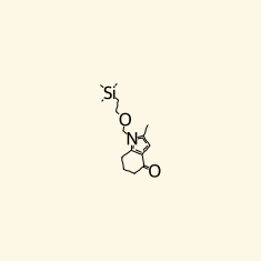 Cc1cc2c(n1COCC[Si](C)(C)C)CCCC2=O